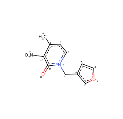 Cc1ccn(Cc2ccoc2)c(=O)c1[N+](=O)[O-]